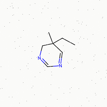 CCC1(C)C=NC=NC1